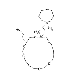 CC1(CCC2(C)CCCCCCCCCCCCCCCC(CCS)CC2)CCCCCCC1